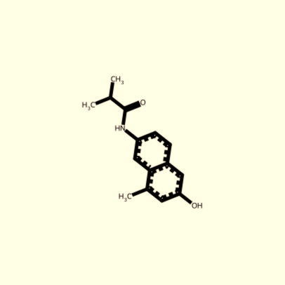 Cc1cc(O)cc2ccc(NC(=O)C(C)C)cc12